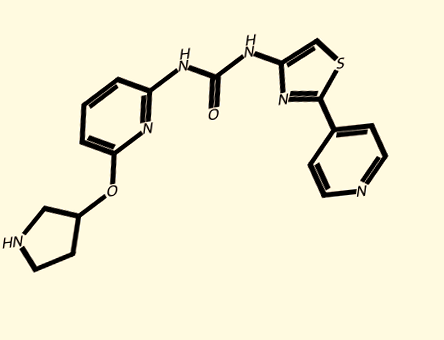 O=C(Nc1cccc(OC2CCNC2)n1)Nc1csc(-c2ccncc2)n1